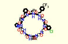 CC[C@H](C)[C@@H]1NC(=O)[C@H](C)NC(=O)C[C@@H](C(=O)N2CCCC2)NC(=O)[C@H](CC(C)C)N(C)C(=O)[C@H](Cc2ccccc2)N(C)C(=O)[C@H](CC(C)C)NC(=O)[C@H](CCc2ccc(C(F)(F)F)cc2)NC(=O)CN(C)C(=O)[C@H](Cc2ccc(Cl)cc2)N(C)C(=O)CN(C)C(=O)CN(C)C1=O